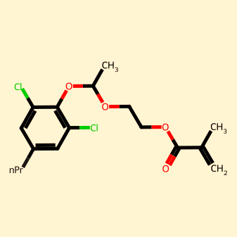 C=C(C)C(=O)OCCOC(C)Oc1c(Cl)cc(CCC)cc1Cl